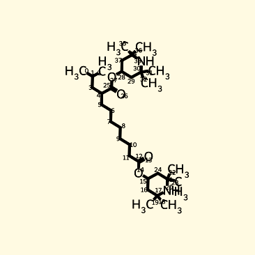 CC(C)CC(CCCCCCCC(=O)OC1CC(C)(C)NC(C)(C)C1)C(=O)OC1CC(C)(C)NC(C)(C)C1